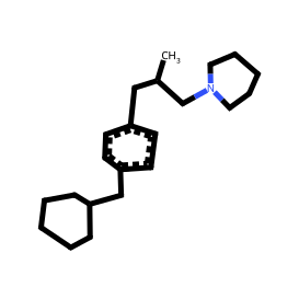 CC(Cc1ccc(CC2CCCCC2)cc1)CN1CCCCC1